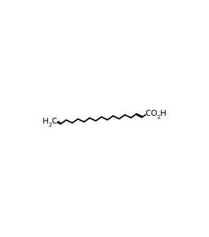 C=CCCCCCCCCCCCCC=CC(=O)O